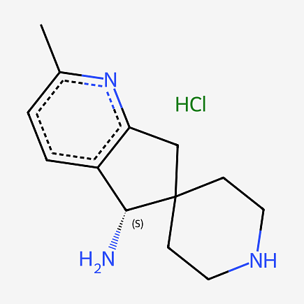 Cc1ccc2c(n1)CC1(CCNCC1)[C@@H]2N.Cl